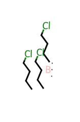 CCCCCl.CCCCCl.CCCCCl.[B]